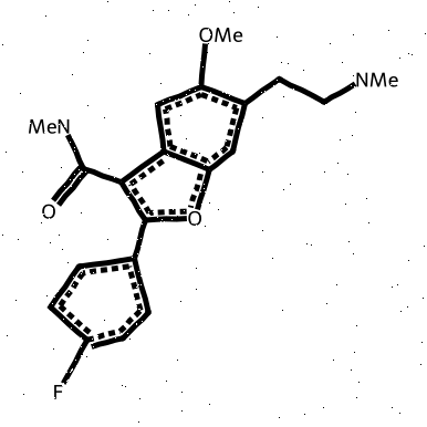 CNCCc1cc2oc(-c3ccc(F)cc3)c(C(=O)NC)c2cc1OC